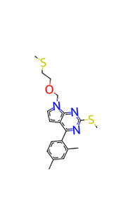 CSCCOCn1ccc2c(-c3ccc(C)cc3C)nc(SC)nc21